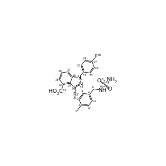 Cc1ccc(CNS(N)(=O)=O)cc1.O=C(O)c1cccc2c1c(Br)nn2-c1ccc(F)cc1